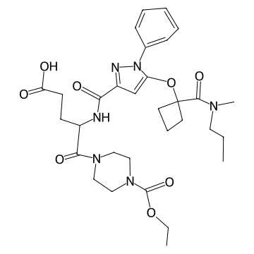 CCCN(C)C(=O)C1(Oc2cc(C(=O)NC(CCC(=O)O)C(=O)N3CCN(C(=O)OCC)CC3)nn2-c2ccccc2)CCC1